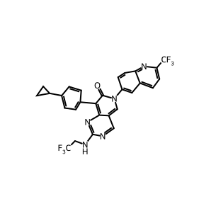 O=c1c(-c2ccc(C3CC3)cc2)c2nc(NCC(F)(F)F)ncc2cn1-c1ccc2nc(C(F)(F)F)ccc2c1